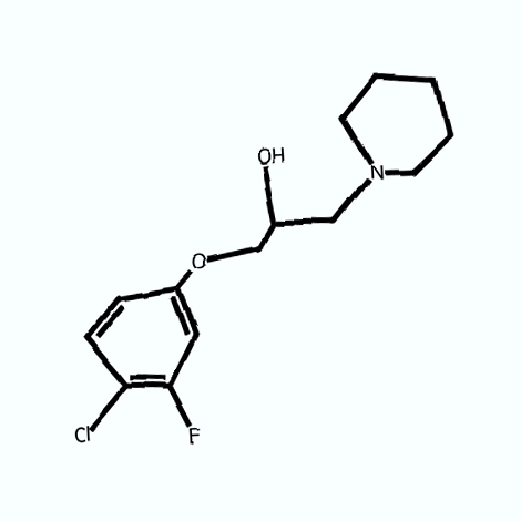 OC(COc1ccc(Cl)c(F)c1)CN1CCCCC1